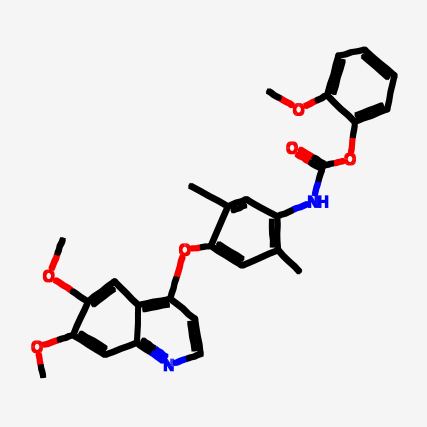 COc1cc2nccc(Oc3cc(C)c(NC(=O)Oc4ccccc4OC)cc3C)c2cc1OC